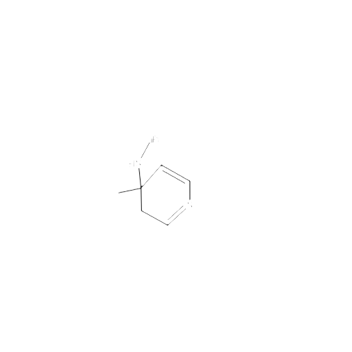 CC(C)NC1(C)C=CN=CC1